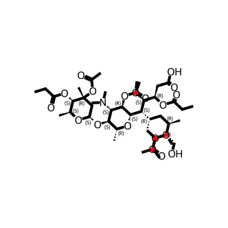 CCC(=O)O[C@H](CC(=O)O)[C@@H](OC)[C@H]([C@@H](CC(OC)OC)C[C@@H](C)[C@H](CO)OC(C)=O)[C@@H]1O[C@H](C)[C@@H](O[C@H]2C[C@@](C)(OC(C)=O)[C@@H](OC(=O)CC)[C@H](C)O2)[C@H](N(C)C)[C@H]1OC(C)=O